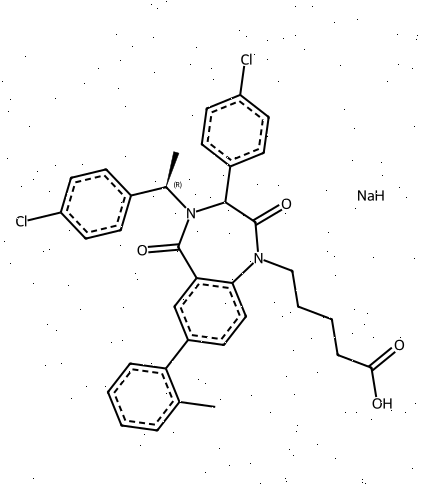 Cc1ccccc1-c1ccc2c(c1)C(=O)N([C@H](C)c1ccc(Cl)cc1)C(c1ccc(Cl)cc1)C(=O)N2CCCCC(=O)O.[NaH]